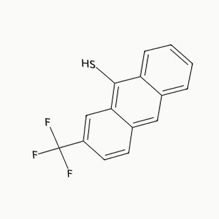 FC(F)(F)c1ccc2cc3ccccc3c(S)c2c1